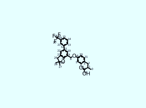 CC(Cc1ccc(OCc2cc(-c3cccc(C(F)(F)F)c3)cc3c2OC(C)(C)C3)cc1)C(=O)O